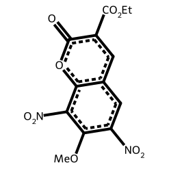 CCOC(=O)c1cc2cc([N+](=O)[O-])c(OC)c([N+](=O)[O-])c2oc1=O